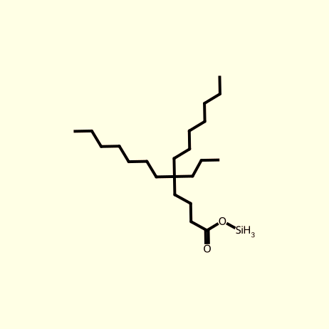 CCCCCCCC(CCC)(CCCCCCC)CCCC(=O)O[SiH3]